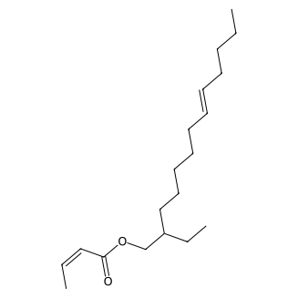 C/C=C\C(=O)OCC(CC)CCCCCC=CCCCC